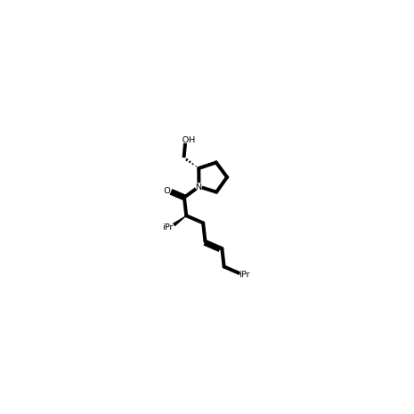 CC(C)C/C=C/C[C@H](C(=O)N1CCC[C@H]1CO)C(C)C